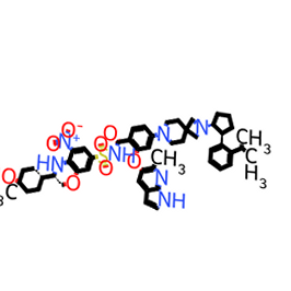 Cc1nc2[nH]ccc2cc1Oc1cc(N2CCC3(CC2)CN([C@H]2CCC[C@H]2c2ccccc2C(C)C)C3)ccc1C(=O)NS(=O)(=O)c1cc2c(c([N+](=O)[O-])c1)N[C@@H]([C@H]1CC[C@](C)(O)CC1)CO2